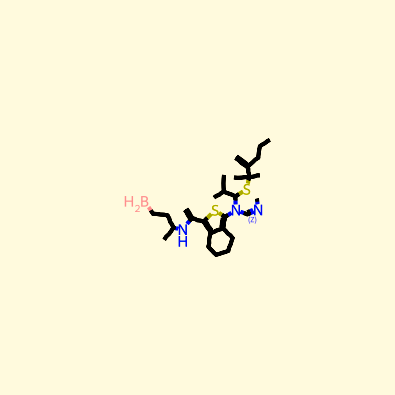 BCCC(C)NC(=C)c1sc(N(/C=N\C)C(SC(C)(C)C(=C)CCC)C(C)C)c2c1CCCC2